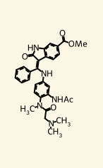 COC(=O)c1ccc2c(c1)NC(=O)C2=C(Nc1ccc(N(C)C(=O)CN(C)C)c(NC(C)=O)c1)c1ccccc1